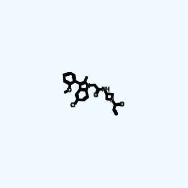 C=CC(=O)N1CC(NC(=O)Cn2c(C)c(-c3ccccc3OC)c3cc(Cl)ccc32)C1